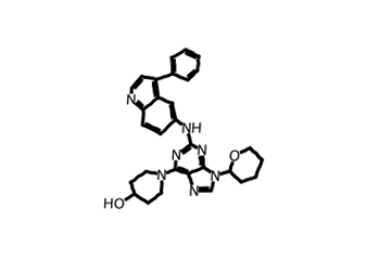 OC1CCN(c2nc(Nc3ccc4nccc(-c5ccccc5)c4c3)nc3c2ncn3C2CCCCO2)CC1